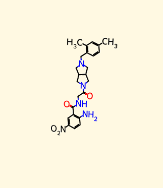 Cc1ccc(CN2CC3CN(C(=O)CNC(=O)c4cc([N+](=O)[O-])ccc4N)CC3C2)c(C)c1